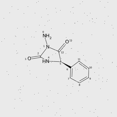 NN1C(=O)N[C@H](c2ccccc2)C1=O